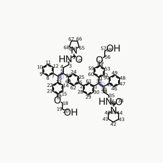 O=C(NCC/C(=C(\c1ccccc1)c1ccc(OCCO)cc1)c1ccc(-c2cccc(/C(=C(\CCNC(=O)N3CCCCC3)c3ccccc3)c3ccc(OCCO)cc3)c2)cc1)N1CCCC1